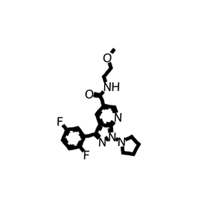 COCCNC(=O)c1cnc2c(c1)c(-c1cc(F)ccc1F)nn2N1CCCC1